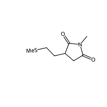 CSCCC1CC(=O)N(C)C1=O